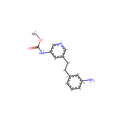 CC(C)(C)OC(=O)Nc1cncc(CCc2cccc(N)c2)c1